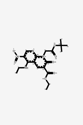 CCNc1c([N+](=O)[O-])cnc2c1cc(C(=O)OCC)c(=O)n2CC(=O)OC(C)(C)C